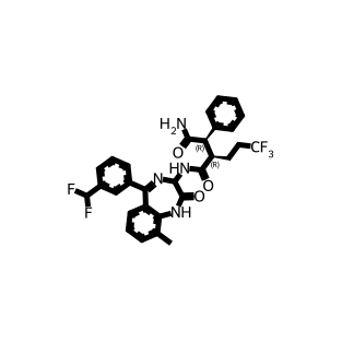 Cc1cccc2c1NC(=O)C(NC(=O)[C@H](CCC(F)(F)F)[C@@H](C(N)=O)c1ccccc1)N=C2c1cccc(C(F)F)c1